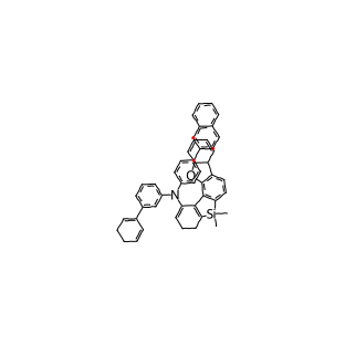 C[Si]1(C)C2=C(C(N(c3ccc(-c4ccc5ccccc5c4)cc3)c3cccc(C4=CCCC=C4)c3)=CCC2)c2c1ccc1c2OC2C=CC=CC12